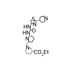 CCOC(=O)C1CCCN(Cc2cccc(NC(=O)Nc3csc(-c4ccncc4)n3)n2)C1